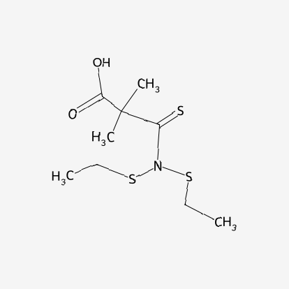 CCSN(SCC)C(=S)C(C)(C)C(=O)O